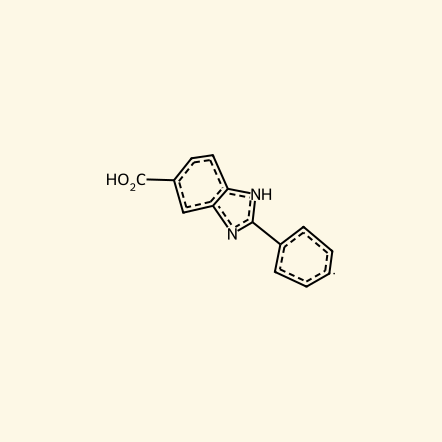 O=C(O)c1ccc2[nH]c(-c3cc[c]cc3)nc2c1